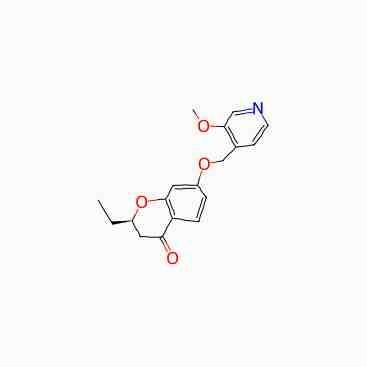 CC[C@@H]1CC(=O)c2ccc(OCc3ccncc3OC)cc2O1